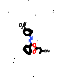 CC(C#N)CC(=O)OC(N=Nc1ccc([N+](=O)[O-])cc1)c1ccccc1